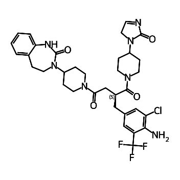 Nc1c(Cl)cc(C[C@@H](CC(=O)N2CCC(N3CCc4ccccc4NC3=O)CC2)C(=O)N2CCC(N3CC=NC3=O)CC2)cc1C(F)(F)F